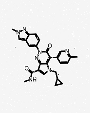 CNC(=O)c1cn(CC2CC2)c2c(-c3ccc(C)nc3)c(=O)n(-c3ccc4nn(C)cc4c3)nc12